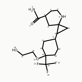 NC(=O)C1CCNC2(C1)CC2C1CCC(OCCO)(C(F)(F)F)CC1